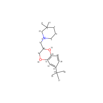 CC1(C)CCCN(CC2COc3cc(C(C)(C)C)ccc3O2)C1